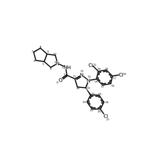 O=C(NN1CC2CCCC2C1)C1=NN(c2ccc(Cl)cc2Cl)[C@@H](c2ccc(Cl)cc2)C1